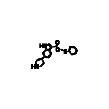 O=C(OCSc1ccccc1)c1c[nH]c2cc(C3=CCNCC3)ccc12